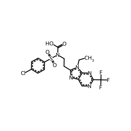 CCn1c(CCN(C(=O)O)S(=O)(=O)c2ccc(Cl)cc2)nc2cnc(C(F)(F)F)nc21